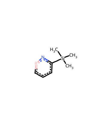 C[Si](C)(C)c1cccbn1